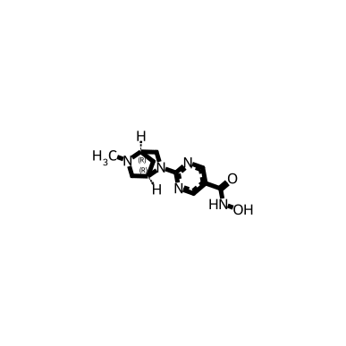 CN1C[C@H]2C[C@@H]1CN2c1ncc(C(=O)NO)cn1